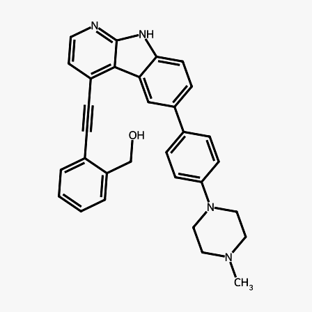 CN1CCN(c2ccc(-c3ccc4[nH]c5nccc(C#Cc6ccccc6CO)c5c4c3)cc2)CC1